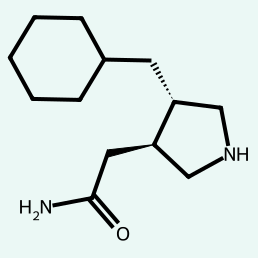 NC(=O)C[C@@H]1CNC[C@H]1CC1CCCCC1